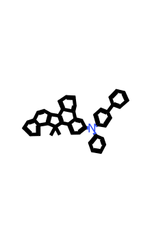 CC1(C)c2c(ccc3ccccc23)-c2c1c1ccc(N(c3ccccc3)c3ccc(-c4ccccc4)cc3)cc1c1ccccc21